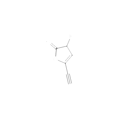 C#CC1=CC(F)C(=O)O1